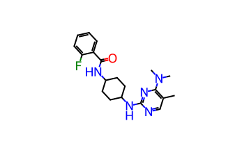 Cc1cnc(NC2CCC(NC(=O)c3ccccc3F)CC2)nc1N(C)C